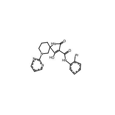 CC(C)c1ccccc1NC(=O)C1=C(O)C2(CCCN(c3ncccn3)C2)NC1=O